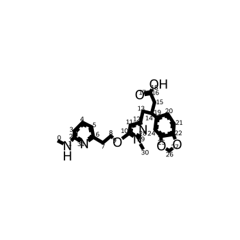 CNc1cccc(CCOc2cc(CC(CC(=O)O)c3ccc4c(c3)OCO4)nn2C)n1